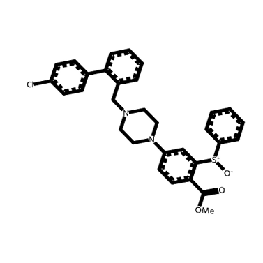 COC(=O)c1ccc(N2CCN(Cc3ccccc3-c3ccc(Cl)cc3)CC2)cc1[S+]([O-])c1ccccc1